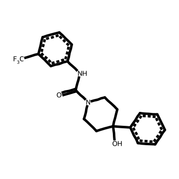 O=C(Nc1cccc(C(F)(F)F)c1)N1CCC(O)(c2ccccc2)CC1